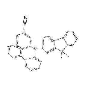 CC1(C)c2ccccc2-c2ccc(N(c3cccc(C#N)c3)c3ccccc3-c3ccccc3)cc21